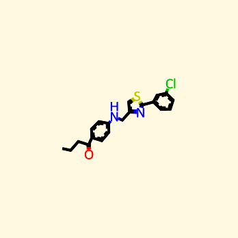 CCCC(=O)c1ccc(NCc2csc(-c3cccc(Cl)c3)n2)cc1